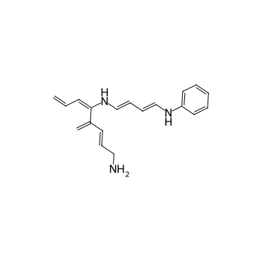 C=C/C=C(/N/C=C/C=C/Nc1ccccc1)C(=C)/C=C/CN